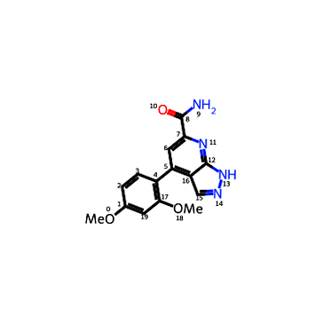 COc1ccc(-c2cc(C(N)=O)nc3[nH]ncc23)c(OC)c1